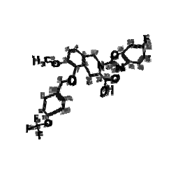 COc1ccc2c(c1OCc1ccc(OC(F)(F)F)cc1)CC(C(=O)O)N(c1nc3ccc(F)cc3o1)C2